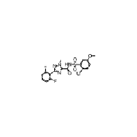 COc1ccc(Cl)c(S(=O)(=O)NC(=O)c2nc(-c3c(F)cccc3F)nn2C)c1